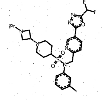 Cc1cccc(N(Cc2ccc(-c3nnc(C(F)F)o3)cn2)S(=O)(=O)C2CCN(C3CN(C(C)C)C3)CC2)c1